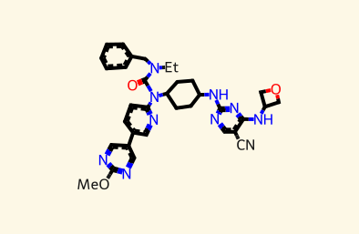 CCN(Cc1ccccc1)C(=O)N(c1ccc(-c2cnc(OC)nc2)cn1)C1CCC(Nc2ncc(C#N)c(NC3COC3)n2)CC1